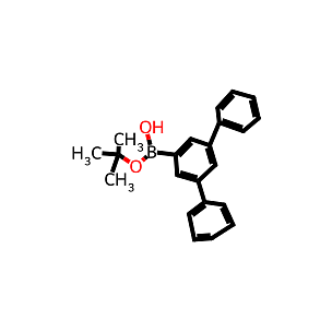 CC(C)(C)OB(O)c1cc(-c2ccccc2)cc(-c2ccccc2)c1